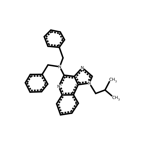 CC(C)Cn1cnc2c(N(Cc3ccccc3)Cc3ccccc3)nc3ccccc3c21